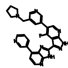 Fc1c(-c2cncc(CN3CCCC3)c2)cnc2[nH]nc(-c3nc4c(-c5cccnc5)ccnc4[nH]3)c12